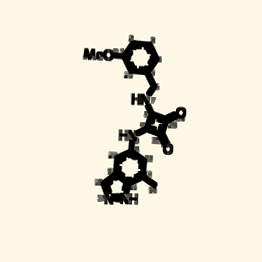 COc1cccc(CNc2c(Nc3cc(C)c4[nH]ncc4c3)c(=O)c2=O)c1